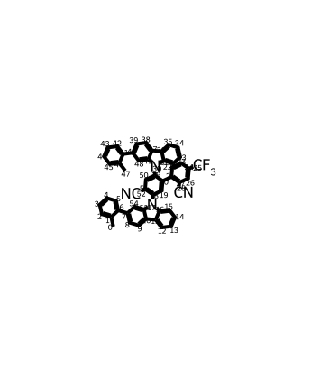 Cc1ccccc1-c1ccc2c3ccccc3n(-c3cc(-c4ccc(C(F)(F)F)cc4C#N)c(-n4c5ccccc5c5ccc(-c6ccccc6C)cc54)cc3C#N)c2c1